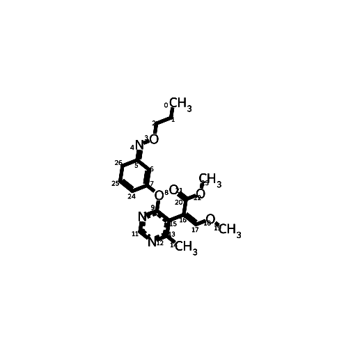 CCCON=C1C=C(Oc2ncnc(C)c2C(=COC)C(=O)OC)C=CC1